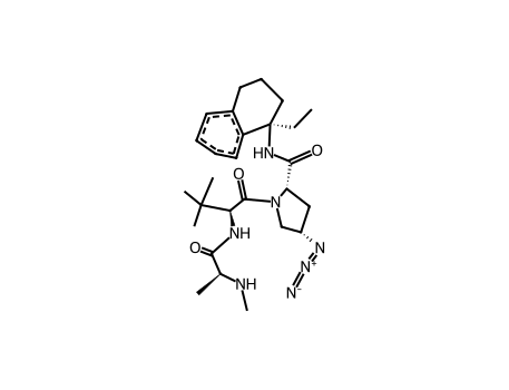 CC[C@@]1(NC(=O)[C@@H]2C[C@H](N=[N+]=[N-])CN2C(=O)[C@@H](NC(=O)[C@H](C)NC)C(C)(C)C)CCCc2ccccc21